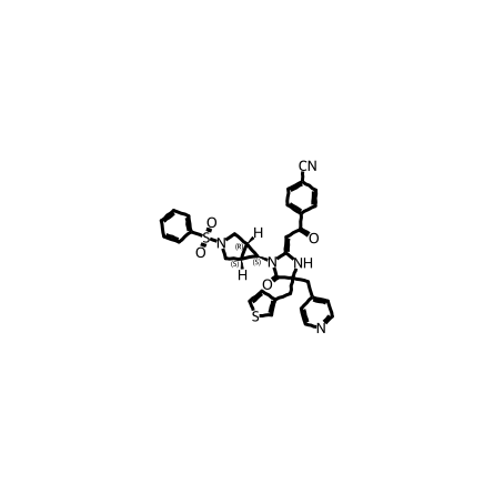 N#Cc1ccc(C(=O)C=C2NC(Cc3ccncc3)(Cc3ccsc3)C(=O)N2[C@H]2[C@@H]3CN(S(=O)(=O)c4ccccc4)C[C@@H]32)cc1